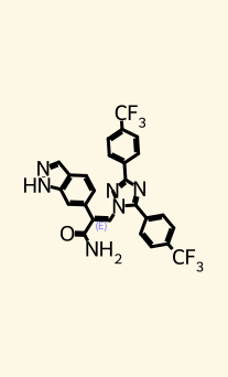 NC(=O)/C(=C/n1nc(-c2ccc(C(F)(F)F)cc2)nc1-c1ccc(C(F)(F)F)cc1)c1ccc2cn[nH]c2c1